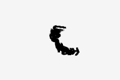 CC(C)(C)NC(=O)Oc1nccc(-c2ccc(Oc3ccc(F)cc3)cc2)n1